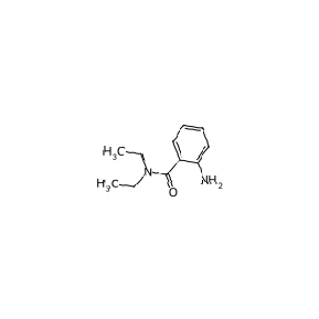 CCN(CC)C(=O)c1ccccc1N